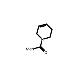 CNC(=O)N1CC=CCC1